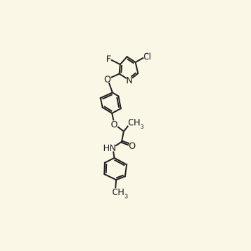 Cc1ccc(NC(=O)C(C)Oc2ccc(Oc3ncc(Cl)cc3F)cc2)cc1